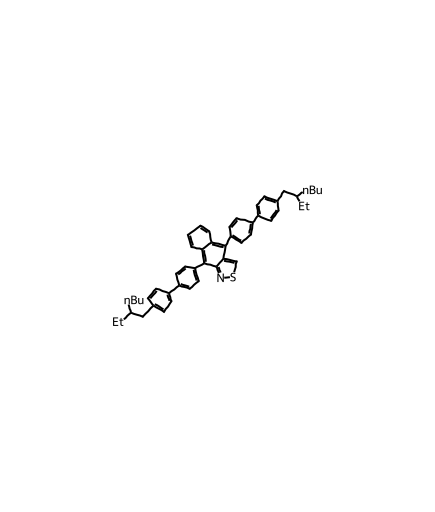 CCCCC(CC)Cc1ccc(-c2ccc(-c3c4ccccc4c(-c4ccc(-c5ccc(CC(CC)CCCC)cc5)cc4)c4nscc34)cc2)cc1